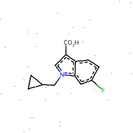 O=C(O)c1cn(CC2CC2)c2cc(F)ccc12